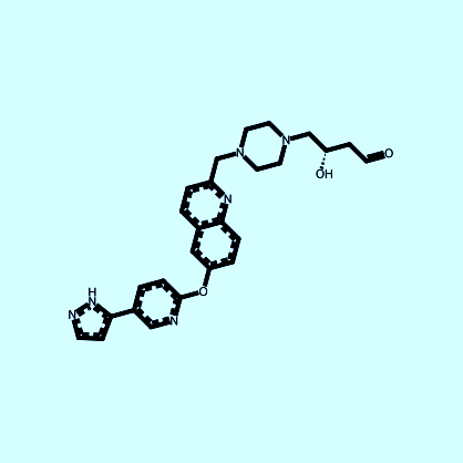 O=CC[C@H](O)CN1CCN(Cc2ccc3cc(Oc4ccc(-c5ccn[nH]5)cn4)ccc3n2)CC1